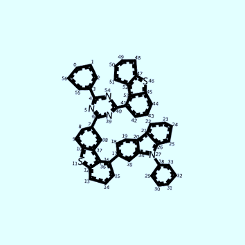 c1ccc(-c2nc(-c3ccc4sc5cccc(-c6ccc7c8ccccc8n(-c8ccccc8)c7c6)c5c4c3)nc(-c3cccc4sc5ccccc5c34)n2)cc1